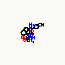 CN1C(=N)N[C@]2(C)c3cc(NC(=O)c4ccc(C#N)cn4)ccc3CCCC2S1(=O)=O